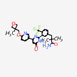 CC1(COc2ccc(-c3cc(=O)[nH]c(-c4cc(CC(C)(C)C(N)=O)ccc4C(F)(F)F)n3)cn2)COC1